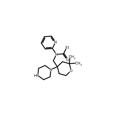 CCC(=O)N(CC1(N2CCNCC2)CCOC(C)(C)C1)c1ccccn1